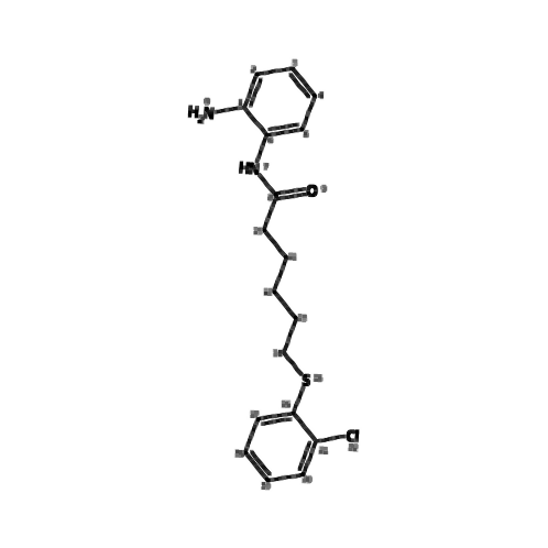 Nc1ccccc1NC(=O)CCCCCSc1ccccc1Cl